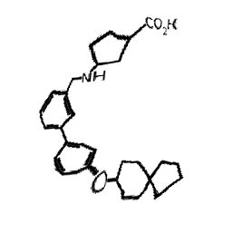 O=C(O)C1CCC(NCc2cccc(-c3ccc(OC4CCC5(CCCC5)CC4)cc3)c2)C1